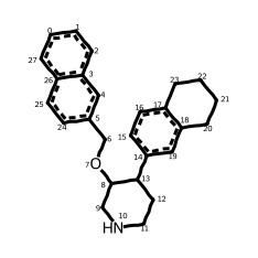 c1ccc2cc(COC3CNCCC3c3ccc4c(c3)CCCC4)ccc2c1